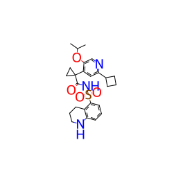 CC(C)Oc1cnc(C2CCC2)cc1C1(C(=O)NS(=O)(=O)c2cccc3c2CCCN3)CC1